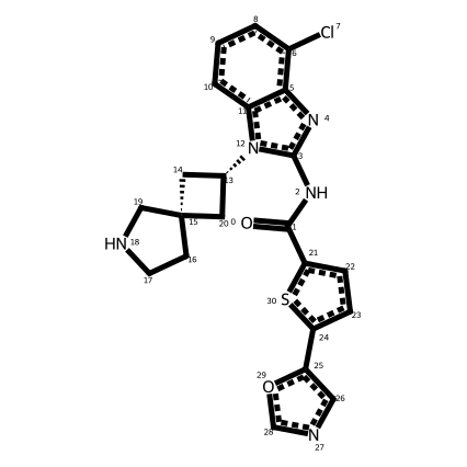 O=C(Nc1nc2c(Cl)cccc2n1[C@H]1C[C@@]2(CCNC2)C1)c1ccc(-c2cnco2)s1